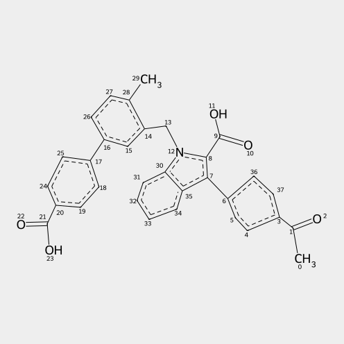 CC(=O)c1ccc(-c2c(C(=O)O)n(Cc3cc(-c4ccc(C(=O)O)cc4)ccc3C)c3ccccc23)cc1